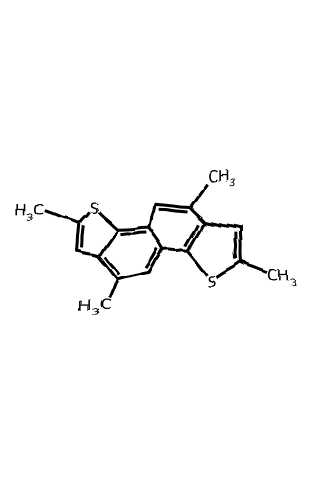 Cc1cc2c(C)cc3c(cc(C)c4cc(C)sc43)c2s1